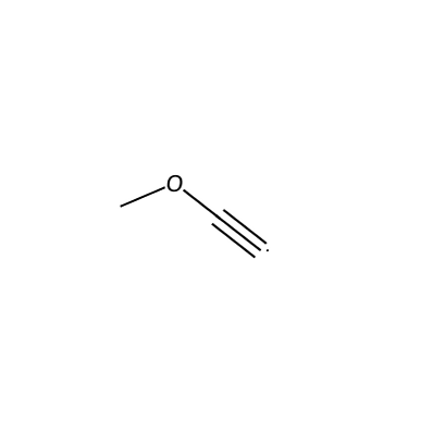 [C]#COC